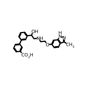 Cc1n[nH]c2cc(OCCNCC(O)c3cccc(-c4cccc(C(=O)O)c4)c3)ccc12